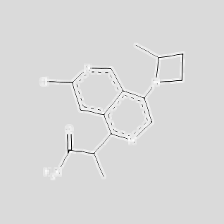 CC(C(N)=O)c1ncc(N2CCC2C)c2cnc(Cl)cc12